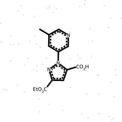 CCOC(=O)c1cc(C(=O)O)n(-c2cncc(C)c2)n1